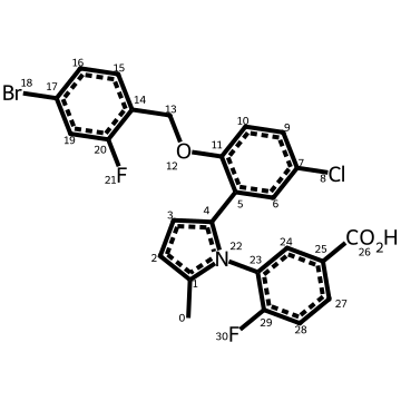 Cc1ccc(-c2cc(Cl)ccc2OCc2ccc(Br)cc2F)n1-c1cc(C(=O)O)ccc1F